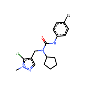 CCc1ccc(NC(=O)N(Cc2cnn(C)c2Cl)C2CCCC2)cc1